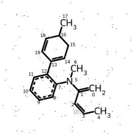 C=C(/C=C\C)N(C)c1ccccc1C1=CCC(C)C=C1